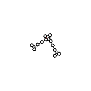 CC1CCCc2c1n(-c1ccc(-c3ccc(-c4ccc5c(c4)c4cc(-c6ccc(-c7ccc(-n8c9ccccc9c9ccccc98)cc7)cc6)ccc4n5-c4ccccc4-c4ccccc4)cc3)cc1)c1ccccc21